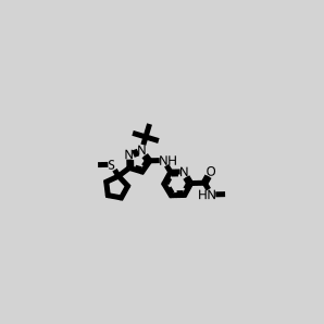 CNC(=O)c1cccc(Nc2cc(C3(SC)CCCC3)nn2C(C)(C)C)n1